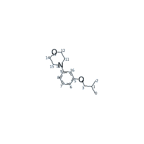 CC(C)COc1cccc(N2CCOCC2)c1